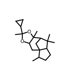 CC1CCC2C(C)(C)C3CC12CC1OC(C)(C2CC2)OC13C